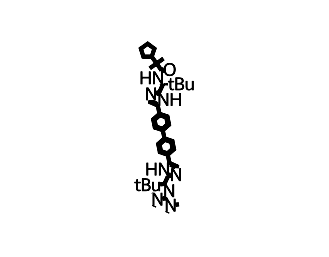 CN(C)C(=NC(c1ncc(-c2ccc(-c3ccc(-c4cnc([C@@H](NC(=O)C(C)(C)C5CCCC5)C(C)(C)C)[nH]4)cc3)cc2)[nH]1)C(C)(C)C)N(C)C